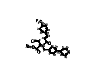 COC(=O)C(CCl)N(Cc1ccc(-c2ccncc2)cc1)C(=O)C=Cc1ccc(C(F)(F)F)cc1